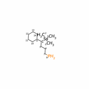 [CH3][Sn]([CH3])([CH3])[CH](CCCP)C1CCCCC1